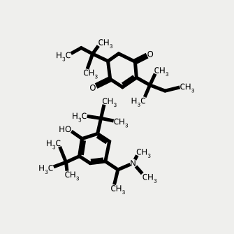 CC(c1cc(C(C)(C)C)c(O)c(C(C)(C)C)c1)N(C)C.CCC(C)(C)C1=CC(=O)C(C(C)(C)CC)CC1=O